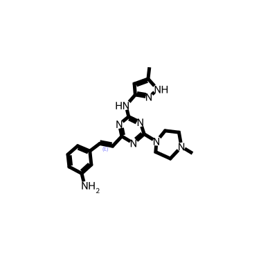 Cc1cc(Nc2nc(/C=C/c3cccc(N)c3)nc(N3CCN(C)CC3)n2)n[nH]1